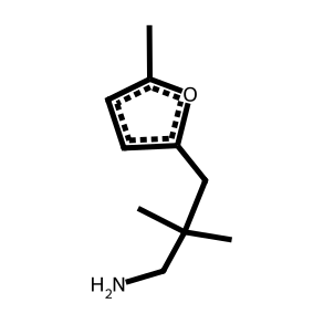 Cc1ccc(CC(C)(C)CN)o1